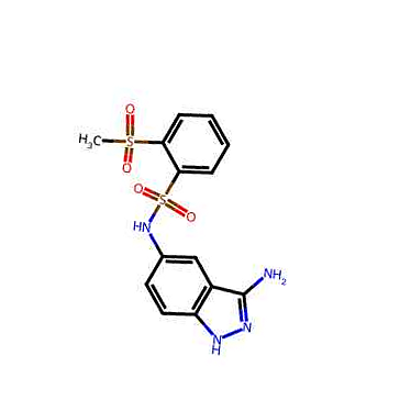 CS(=O)(=O)c1ccccc1S(=O)(=O)Nc1ccc2[nH]nc(N)c2c1